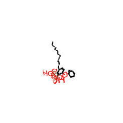 CCCCCCCCCCc1ccc(Oc2ccccc2)c(S(=O)(=O)O)c1S(=O)(=O)O